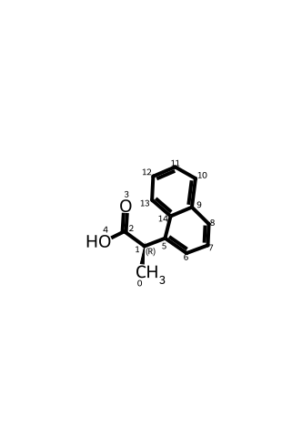 C[C@@H](C(=O)O)c1cccc2ccccc12